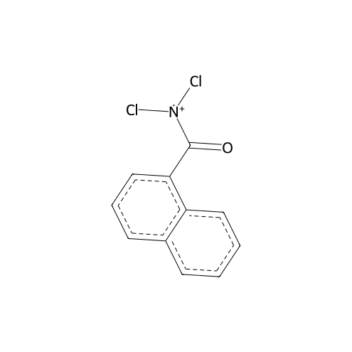 O=C(c1cccc2ccccc12)[N+](Cl)Cl